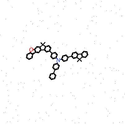 CC1(C)c2ccccc2-c2ccc(-c3ccc(N(c4ccc(-c5ccccc5)cc4)c4ccc(-c5ccc6c(c5)-c5cc7c(cc5C6(C)C)oc5ccccc57)cc4)cc3)cc21